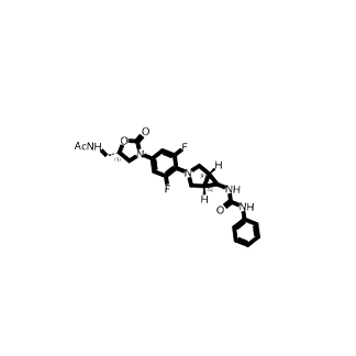 CC(=O)NC[C@H]1CN(c2cc(F)c(N3C[C@@H]4C(NC(=O)Nc5ccccc5)[C@@H]4C3)c(F)c2)C(=O)O1